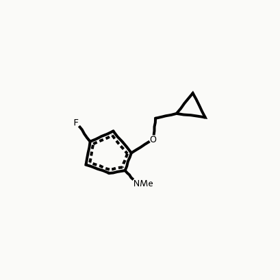 CNc1ccc(F)cc1OCC1CC1